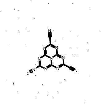 [C-]#[N+]C1=NC2=NC(C#N)=NC3=NC(C#N)=NC(=N1)N32